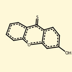 Oc1ccc2c(=S)c3ccccc3oc2c1